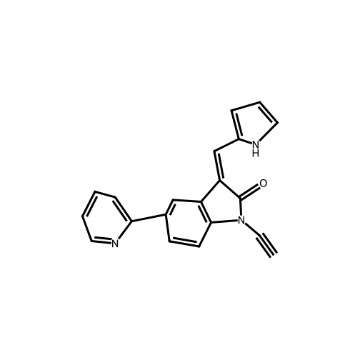 C#CN1C(=O)/C(=C\c2ccc[nH]2)c2cc(-c3ccccn3)ccc21